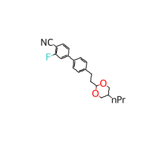 CCCC1COC(CCc2ccc(-c3ccc(C#N)c(F)c3)cc2)OC1